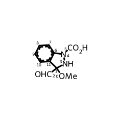 COC1(C=O)NN(C(=O)O)c2ccccc21